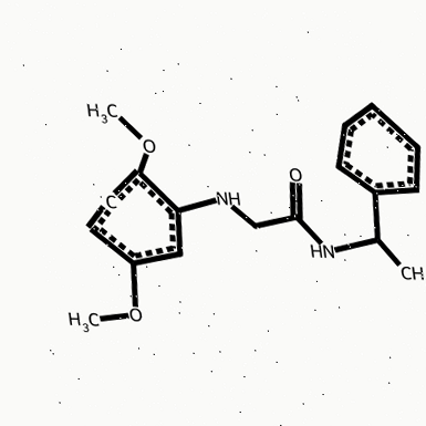 COc1ccc(OC)c(NCC(=O)NC(C)c2ccccc2)c1